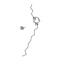 CCCCCCCCCCn1cc[n+](CCCC)c1.[Br-]